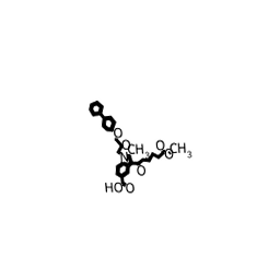 COC(=O)CCCCC(=O)c1c(C)n(CC(=O)COc2ccc(-c3ccccc3)cc2)c2ccc(C(=O)O)cc12